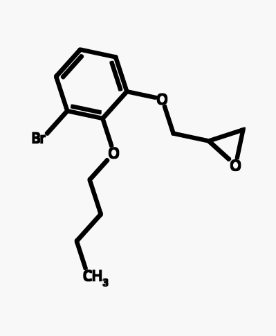 CCCCOc1c(Br)cccc1OCC1CO1